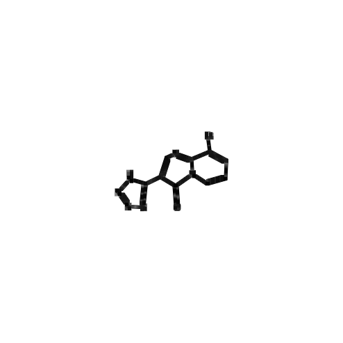 CCc1cccn2c(=O)c(-c3nnn[nH]3)cnc12